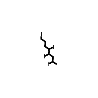 CC(I)CC(I)C(I)CCCI